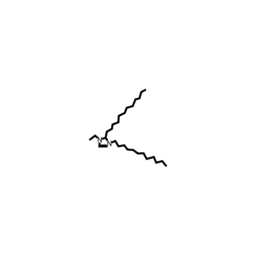 CCCCCCCCCCCCC1N(CC)C=CN1CCCCCCCCCCCC